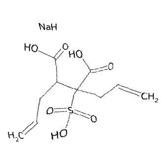 C=CCC(C(=O)O)C(CC=C)(C(=O)O)S(=O)(=O)O.[NaH]